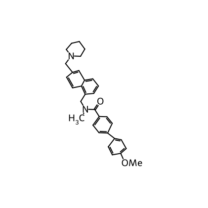 COc1ccc(-c2ccc(C(=O)N(C)Cc3cccc4cc(CN5CCCCC5)ccc34)cc2)cc1